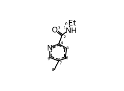 CCNC(=O)c1ccc(C)cn1